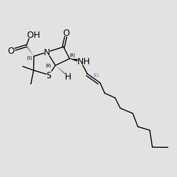 CCCCCCCC/C=C/N[C@@H]1C(=O)N2[C@@H]1SC(C)(C)[C@@H]2C(=O)O